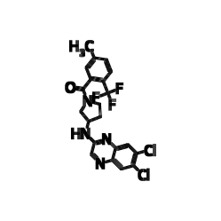 Cc1ccc(C(F)(F)F)c(C(=O)N2CCC(Nc3cnc4cc(Cl)c(Cl)cc4n3)C2)c1